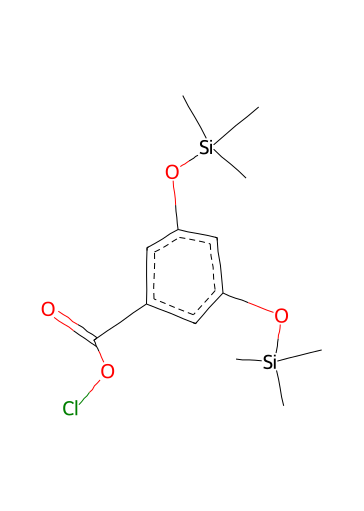 C[Si](C)(C)Oc1cc(O[Si](C)(C)C)cc(C(=O)OCl)c1